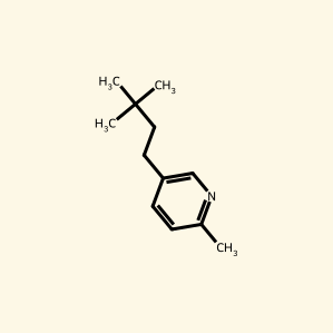 Cc1ccc(CCC(C)(C)C)cn1